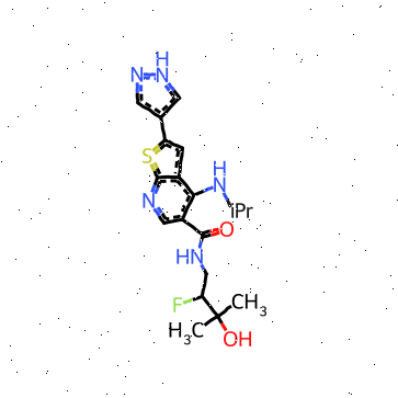 CC(C)Nc1c(C(=O)NCC(F)C(C)(C)O)cnc2sc(-c3cn[nH]c3)cc12